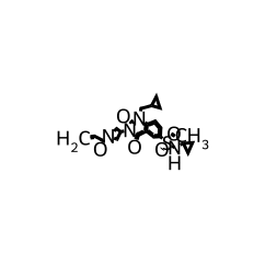 C=CC(=O)N1CC(n2c(=O)c3cc(S(=O)(=O)NC4(C)CC4)ccc3n(CC3CC3)c2=O)C1